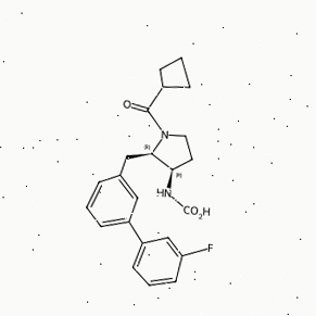 O=C(O)N[C@@H]1CCN(C(=O)C2CCC2)[C@@H]1Cc1cccc(-c2cccc(F)c2)c1